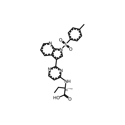 CC[C@@](C)(Nc1ccnc(-c2cn(S(=O)(=O)c3ccc(C)cc3)c3ncccc23)n1)C(=O)O